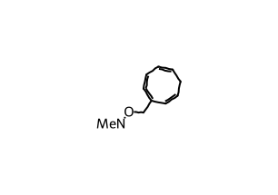 CNOCC1=C=C/C=C\C/C=C\1